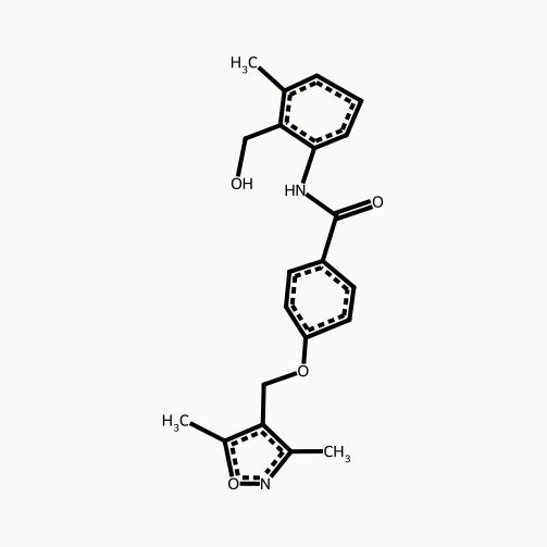 Cc1cccc(NC(=O)c2ccc(OCc3c(C)noc3C)cc2)c1CO